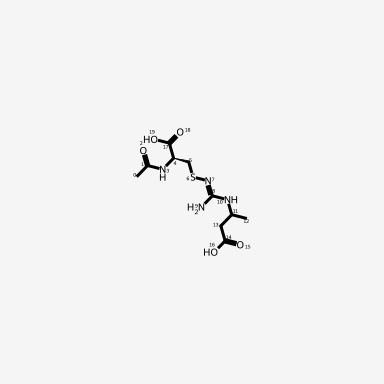 CC(=O)N[C@H](CS/N=C(\N)NC(C)CC(=O)O)C(=O)O